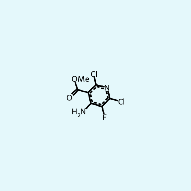 COC(=O)c1c(Cl)nc(Cl)c(F)c1N